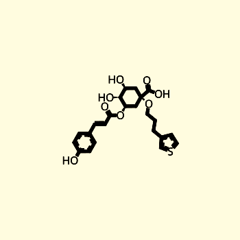 O=C(C=Cc1ccc(O)cc1)O[C@@H]1C[C@](OCCCc2ccsc2)(C(=O)O)C[C@H](O)[C@H]1O